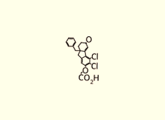 O=C(O)COc1cc2c(c(Cl)c1Cl)C1=CC(=O)CCC1(Cc1ccccc1)C2